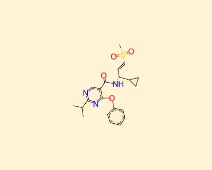 CC(C)c1ncc(C(=O)N[C@H](/C=C/S(C)(=O)=O)C2CC2)c(Oc2ccccc2)n1